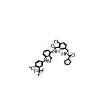 COc1ccc(-n2ncc3c(NC(=O)c4cc(CNC(=O)C5CCCC5)ccc4Cl)cccc32)cc1C(F)(F)F